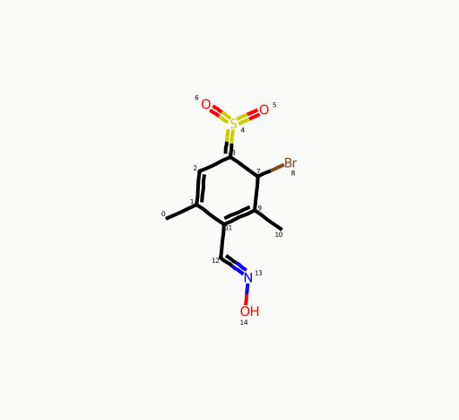 CC1=CC(=S(=O)=O)C(Br)C(C)=C1C=NO